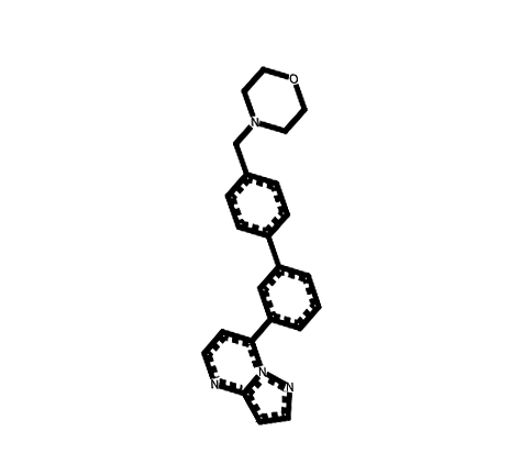 [c]1cnn2c(-c3cccc(-c4ccc(CN5CCOCC5)cc4)c3)ccnc12